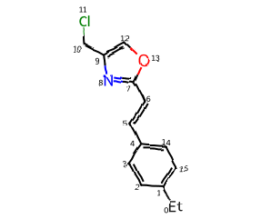 CCc1ccc(C=Cc2nc(CCl)co2)cc1